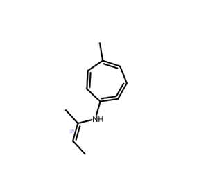 C/C=C(/C)NC1=C=CC=C(C)C=C1